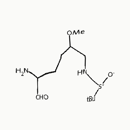 COC(CCC(N)C=O)CN[S+]([O-])C(C)(C)C